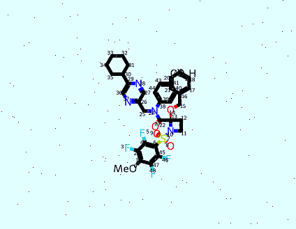 COc1c(F)c(F)c(S(=O)(=O)N2CC[C@@]2(OCc2ccccc2)C(=O)N(Cc2cnc(C3CCCCC3)cn2)c2ccc(C(=O)O)cc2)c(F)c1F